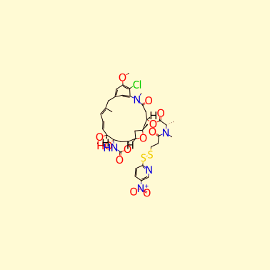 COc1cc2cc(c1Cl)N(C)C(=O)C[C@H](OC(=O)[C@H](C)N(C)C(=O)CCSSc1ccc([N+](=O)[O-])cn1)[C@@]1(C)CC(C)(O1)[C@@H]1C[C@@](O)(NC(=O)O1)[C@H](OC)/C=C/C=C(\C)C2